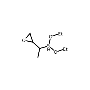 CCO[SiH](OCC)C(C)C1CO1